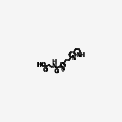 Cn1cc(CCc2ccc3c(n2)NCCC3)cc1C(=O)NCCC(=O)O